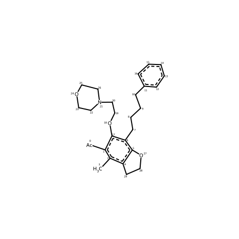 CC(=O)c1c(C)c2c(c(CCCCc3ccccc3)c1OCCN1CCOCC1)OCC2